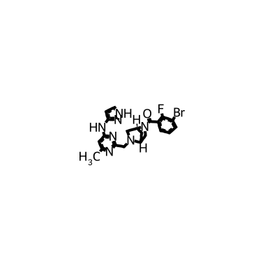 Cc1cc(Nc2cc[nH]n2)nc(CN2C[C@@H]3C[C@H]2CN3C(=O)c2cccc(Br)c2F)n1